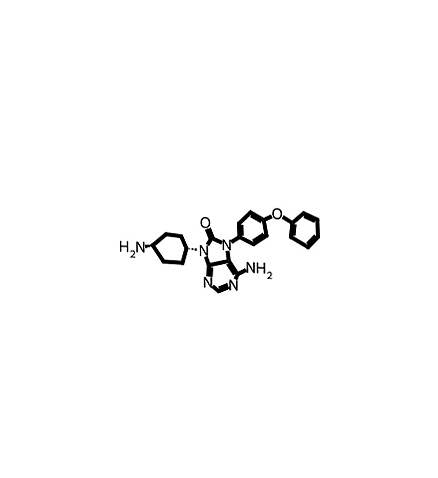 Nc1ncnc2c1n(-c1ccc(Oc3ccccc3)cc1)c(=O)n2[C@H]1CC[C@H](N)CC1